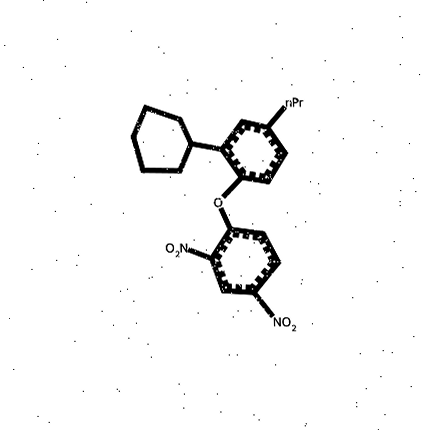 CCCc1ccc(Oc2ccc([N+](=O)[O-])cc2[N+](=O)[O-])c(C2CCCCC2)c1